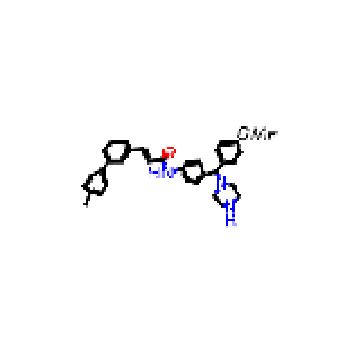 COc1ccc(C(c2ccc(NC(=O)C=Cc3cccc(-c4ccc(C)cc4)c3)cc2)N2CCNCC2)cc1